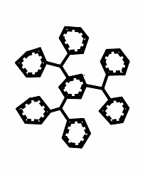 [c]1c(C(c2ccccc2)c2ccccc2)cc(C(c2ccccc2)c2ccccc2)cc1C(c1ccccc1)c1ccccc1